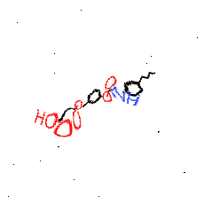 CCCCc1ccc(NC(=O)Oc2cccc(COC(=O)CC(=O)O)c2)cc1